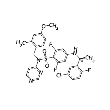 COc1ccc(CN(c2ccncn2)S(=O)(=O)c2c(F)cc(N[C@@H](C)c3cc(Cl)ccc3F)cc2F)c(C)c1